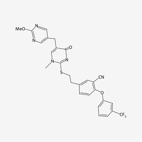 COc1ncc(Cc2cn(C)c(SCCc3ccc(Oc4cccc(C(F)(F)F)c4)c(C#N)c3)nc2=O)cn1